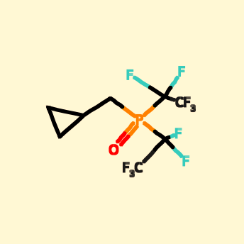 O=P(CC1CC1)(C(F)(F)C(F)(F)F)C(F)(F)C(F)(F)F